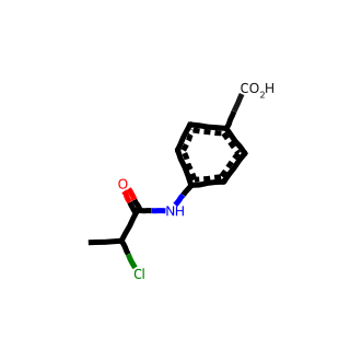 CC(Cl)C(=O)Nc1ccc(C(=O)O)cc1